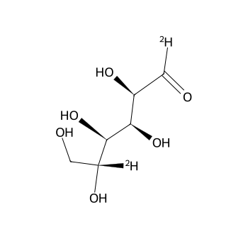 [2H]C(=O)[C@H](O)[C@@H](O)[C@H](O)[C@]([2H])(O)CO